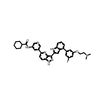 CN(C)CCOc1cc(F)cc(-c2cccc3[nH]c(-c4n[nH]c5ccc(-c6cncc(NC(=O)C7CCCCC7)c6)nc45)cc23)c1